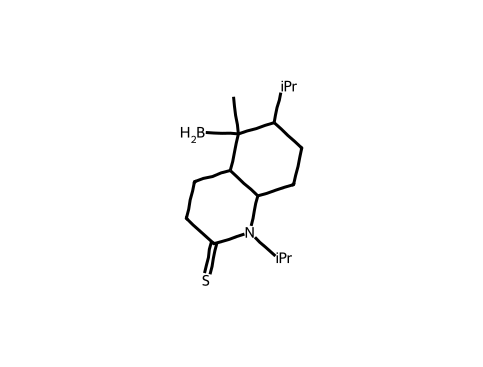 BC1(C)C(C(C)C)CCC2C1CCC(=S)N2C(C)C